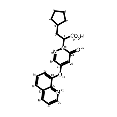 O=C(O)C(CC1CCCC1)n1ncc(Oc2cccc3cccnc23)cc1=O